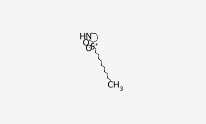 CCCCCCCCCCCC[S+]([O-])C1CCCCNC1=O